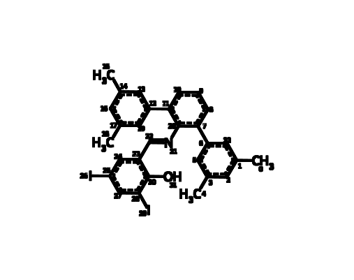 Cc1cc(C)cc(-c2cccc(-c3cc(C)cc(C)c3)c2N=Cc2cc(I)cc(I)c2O)c1